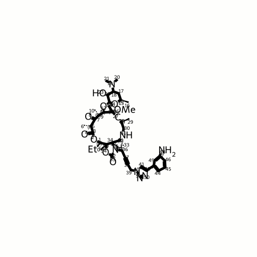 CC[C@H]1OC(=O)[C@H](C)C(=O)[C@H](C)[C@@H](O[C@@H]2O[C@H](C)CC(N(C)C)C2O)[C@](C)(OC)C[C@@H](C)CN[C@H](C)[C@H]2N(CC#CCn3cc(-c4cccc(N)c4)nn3)C(=O)O[C@]12C